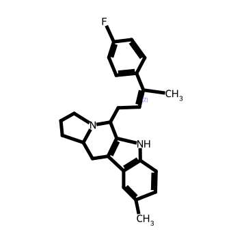 C/C(=C/CC1c2[nH]c3ccc(C)cc3c2CC2CCCN21)c1ccc(F)cc1